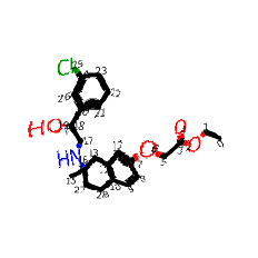 CCOC(=O)COc1ccc2c(c1)CC(C)(NC[C@H](O)c1cccc(Cl)c1)CC2